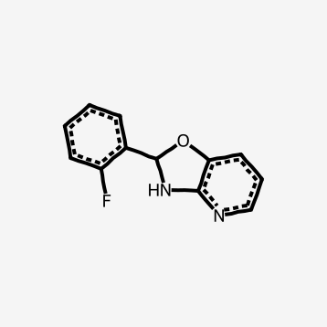 Fc1ccccc1C1Nc2ncccc2O1